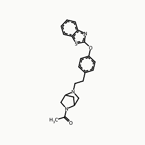 CC(=O)N1CC2CC1CN2CCc1ccc(Oc2nc3ccccc3s2)cc1